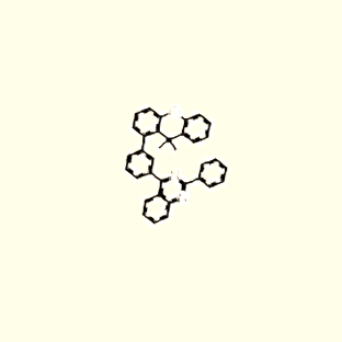 CC1(C)c2ccccc2Oc2cccc(-c3cccc(-c4nc(-c5ccccc5)nc5ccccc45)c3)c21